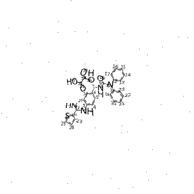 N=C(Nc1ccc(CNC(=O)N(c2ccccc2)c2ccccc2)cc1)c1cccs1.O=C(O)C(=O)O